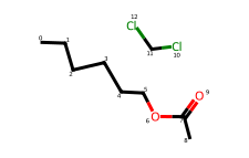 CCCCCCOC(C)=O.ClCCl